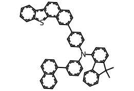 CC1(C)c2ccccc2-c2c(N(c3ccc(-c4ccc5ccc6c7ccccc7sc6c5c4)cc3)c3cccc(-c4cccc5ccccc45)c3)cccc21